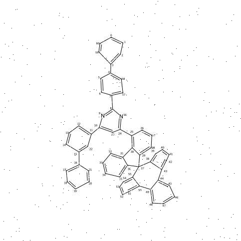 c1ccc(-c2ccc(-c3nc(-c4cccc(-c5ccccc5)c4)cc(-c4cccc5c4-c4ccccc4C54c5ccccc5-c5ccccc5-c5ccccc54)n3)cc2)cc1